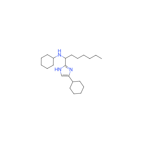 CCCCCCC(NC1CCCCC1)c1nc(C2CCCCC2)c[nH]1